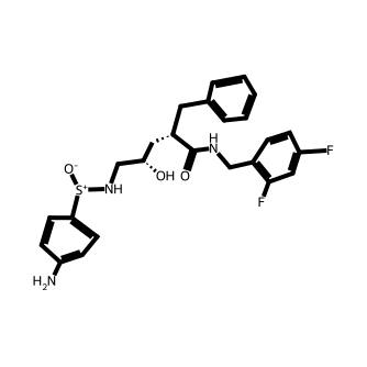 Nc1ccc([S+]([O-])NC[C@@H](O)C[C@H](Cc2ccccc2)C(=O)NCc2ccc(F)cc2F)cc1